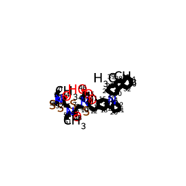 CCN1C(=O)/C(=c2\s/c(=c3/s/c(=C/c4ccc5c(c4)C4CCCC4N5c4ccc5c(c4)-c4ccccc4C5(C)C)c(=O)n3CC(=O)O)c(=O)n2CC)SC1=S